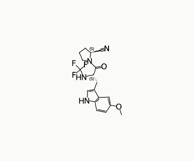 COc1ccc2[nH]cc(C[C@H](NC(F)(F)F)C(=O)N3CCC[C@H]3C#N)c2c1